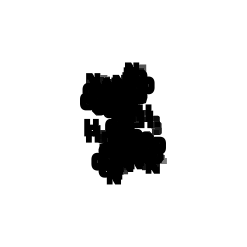 CC1(C)CC2(CC(C)(C)c3cc(OS(=O)(=O)c4cccc5c4C(N=[N+]=[N-])=C(N=[N+]=[N-])C(=O)C5=O)c(OS(=O)(=O)c4cccc5c4C(N=[N+]=[N-])=C(N=[N+]=[N-])C(=O)C5=O)cc3O2)Oc2cc(OS(=O)(=O)c3cccc4c3C(N=[N+]=[N-])=C(N=[N+]=[N-])C(=O)C4=O)c(OS(=O)(=O)c3cccc4c3C(N=[N+]=[N-])=C(N=[N+]=[N-])C(=O)C4=O)cc21